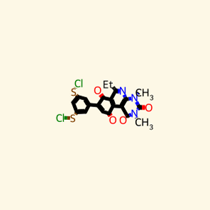 CCc1nc2c(c3c1C(=O)C(c1cc(SCl)cc(SCl)c1)=CC3=O)c(=O)n(C)c(=O)n2C